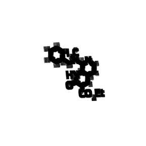 CCOC(=O)c1cc2ccnc(N(C)Cc3ccccc3)c2[nH]c1=O